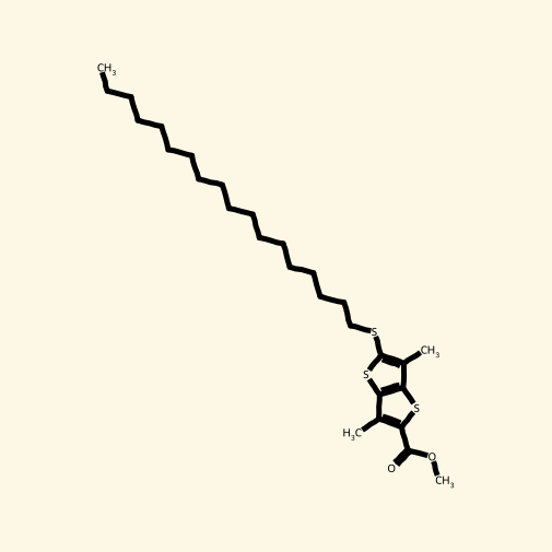 CCCCCCCCCCCCCCCCCCSc1sc2c(C)c(C(=O)OC)sc2c1C